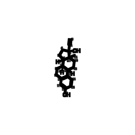 C#C[C@@]1(O)CC[C@H]2[C@@H]3CCc4cc(O)ccc4[C@H]3CCC21C